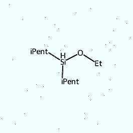 CCCC(C)[SiH](OCC)C(C)CCC